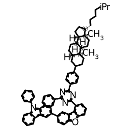 CC(C)CCCC[C@H]1CC[C@H]2[C@@H]3CC[C@H]4CC(c5ccc(-c6nc(-c7ccccc7)nc(-c7cccc8oc9ccc(-c%10ccc%11c(c%10)c%10ccccc%10n%11-c%10ccccc%10)cc9c78)n6)cc5)CC[C@]4(C)[C@H]3CC[C@]12C